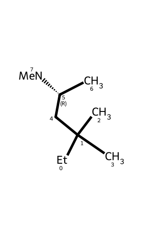 CCC(C)(C)C[C@@H](C)NC